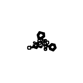 O=S(=O)(c1ccccc1)N(Cc1cc(Cl)sc1Cl)S(=O)(=O)c1ccccc1